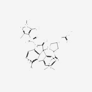 COc1ccccc1C1(N2C[C@H](OC(=O)C(F)(F)F)C[C@H]2C(=O)ON(C)C)C(=O)N(S(=O)(=O)c2c(C)nn(C)c2Cl)c2ccc(Cl)cc21